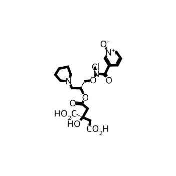 O=C(O)C[C@@](O)(CC(=O)O[C@@H](CON(Cl)C(=O)c1ccc[n+]([O-])c1)CN1CCCCC1)C(=O)O